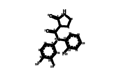 O=C1NCCC1C(=O)N(c1ccc(F)c(F)c1)c1ccccc1F